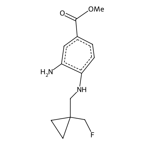 COC(=O)c1ccc(NCC2(CF)CC2)c(N)c1